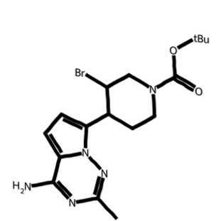 Cc1nc(N)c2ccc(C3CCN(C(=O)OC(C)(C)C)CC3Br)n2n1